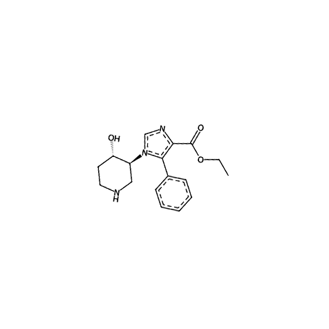 CCOC(=O)c1ncn([C@H]2CNCC[C@@H]2O)c1-c1ccccc1